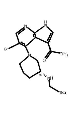 CC(C)(C)CN[C@@H]1CCCN(c2c(Br)cnc3[nH]cc(C(N)=O)c23)C1